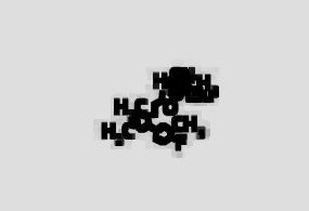 Cc1cc(C)c(/C=C/C(=O)C[C@H](CC#N)O[Si](C)(C)C(C)(C)C)c(-c2ccc(F)c(C)c2)c1